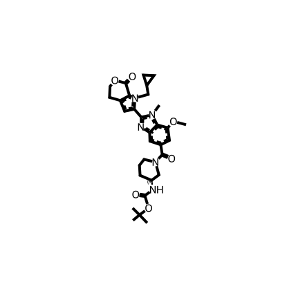 COc1cc(C(=O)N2CCC[C@@H](NC(=O)OC(C)(C)C)C2)cc2nc(-c3cc4c(n3CC3CC3)C(=O)OCC4)n(C)c12